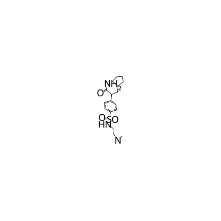 CN(C)CCNS(=O)(=O)c1ccc(C(CC2CCCC2)C(N)=O)cc1